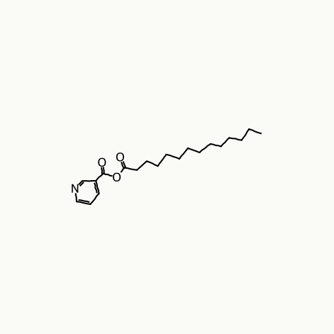 CCCCCCCCCCCCCC(=O)OC(=O)c1cccnc1